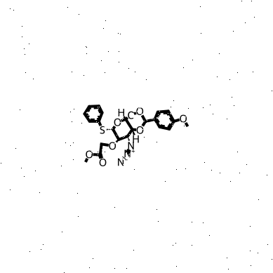 COC(=O)CO[C@@H]1[C@@H](N=[N+]=[N-])[C@H]2OC(c3ccc(OC)cc3)OC[C@H]2O[C@H]1Sc1ccccc1